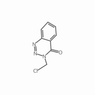 O=c1c2ccccc2nnn1CCl